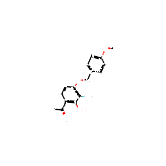 COc1ccc(COc2ccc(C(C)=O)c(O)c2F)cc1